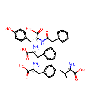 CC(C)[C@@H](N)C(=O)O.N[C@H](Cc1ccccc1)C(=O)O.N[C@H](Cc1ccccc1)C(=O)O.O=C(Cc1ccccc1)N[C@H](Cc1ccc(O)cc1)C(=O)O